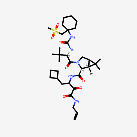 C=CCNC(=O)C(=O)C(CC1CCC1)NC(=O)[C@@H]1[C@@H]2C(CN1C(=O)[C@@H](NC(=O)NC1(CS(C)(=O)=O)CCCCC1)C(C)(C)C)C2(C)C